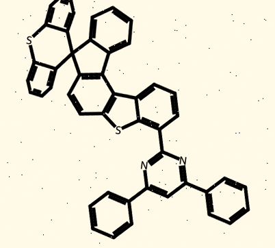 c1ccc(-c2cc(-c3ccccc3)nc(-c3cccc4c3sc3ccc5c(c34)-c3ccccc3C53c4ccccc4Sc4ccccc43)n2)cc1